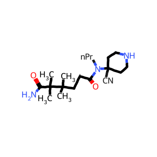 CCCN(C(=O)[CH]CC(C)(C)C(C)(C)C(N)=O)C1(C#N)CCNCC1